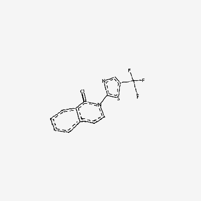 O=c1c2ccccc2ccn1-c1ncc(C(F)(F)F)s1